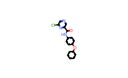 O=C(Nc1ccc(Oc2ccccc2)cc1)c1cncc(Cl)n1